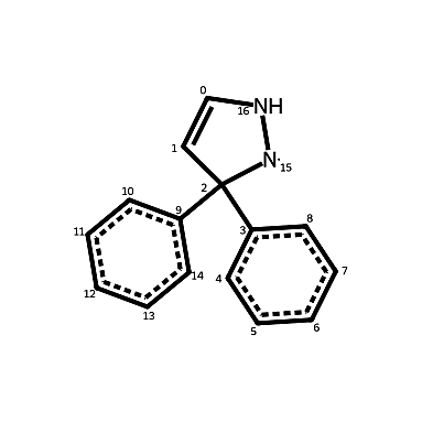 C1=CC(c2ccccc2)(c2ccccc2)[N]N1